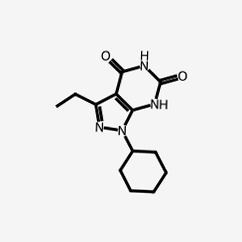 CCc1nn(C2CCCCC2)c2[nH]c(=O)[nH]c(=O)c12